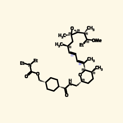 CC[C@H](OC)[C@@H](C)[C@H]1O[C@]1(C)C[C@H](C)/C=C/C=C(\C)[C@H]1O[C@@H](CNC(=O)[C@H]2CC[C@@H](COC(=O)N(CC)CC)CC2)CC[C@@H]1C